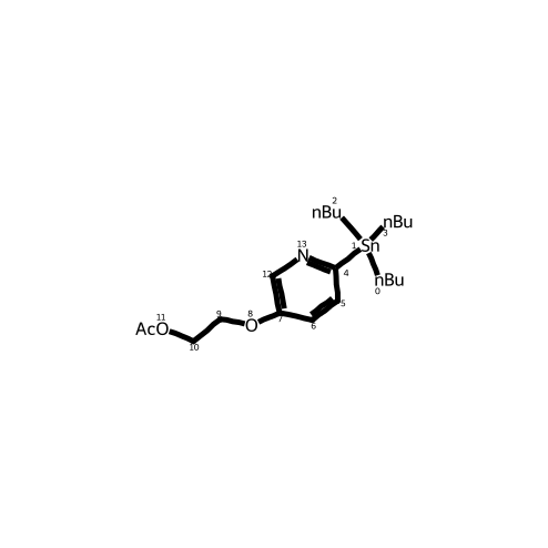 CCC[CH2][Sn]([CH2]CCC)([CH2]CCC)[c]1ccc(OCCOC(C)=O)cn1